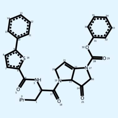 CC(C)CC(NC(=O)c1ccc(-c2ccccc2)s1)C(=O)N1CC=C2C1C(=O)CN2C(=O)Oc1ccccc1